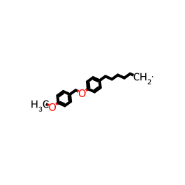 [CH2]CCCCCc1ccc(OCc2ccc(OC)cc2)cc1